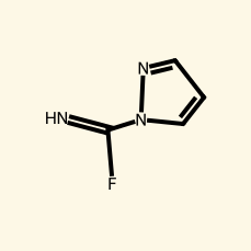 N=C(F)n1cccn1